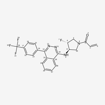 C=CC(=O)N1C[C@@H](F)[C@H](Nc2nnc(-c3ccc(C(F)(F)F)cc3)c3ccccc23)C1